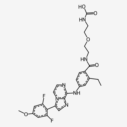 CCc1cc(Nc2nccn3c(-c4c(F)cc(OC)cc4F)cnc23)ccc1C(=O)NCCOCCNC(=O)O